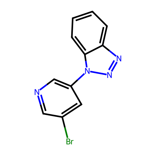 Brc1cncc(-n2nnc3ccccc32)c1